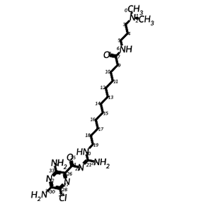 CN(C)CCCNC(=O)CCCCCCCCCCCNC(N)=NC(=O)c1nc(Cl)c(N)nc1N